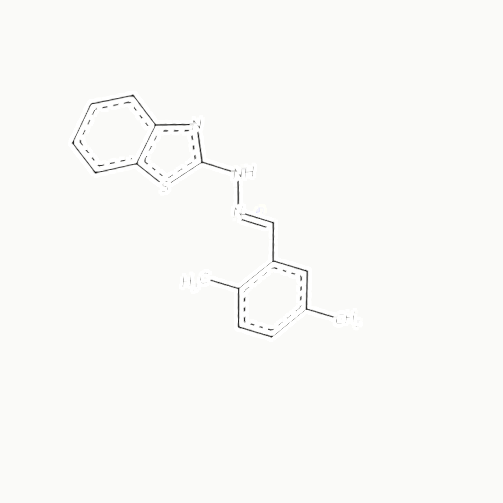 Cc1ccc(C)c(/C=N/Nc2nc3ccccc3s2)c1